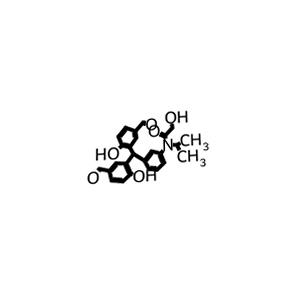 CC(C)N(C(=O)CO)c1cccc(C(c2cc(C=O)ccc2O)c2cc(C=O)ccc2O)c1